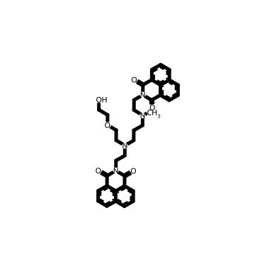 CN(CCCN(CCOCCO)CCN1C(=O)c2cccc3cccc(c23)C1=O)CCN1C(=O)c2cccc3cccc(c23)C1=O